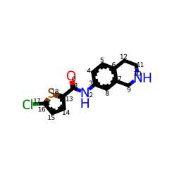 O=C(Nc1ccc2c(c1)CNCC2)c1ccc(Cl)s1